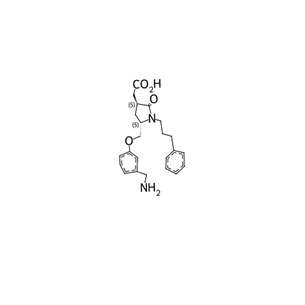 NCc1cccc(OC[C@@H]2C[C@@H](CC(=O)O)C(=O)N2CCCc2ccccc2)c1